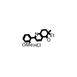 CCC1(C)CCc2nc(-c3ccccc3OC)ccc2C1=O.Cl